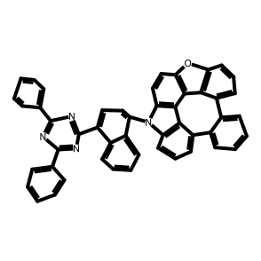 c1ccc(-c2nc(-c3ccccc3)nc(-c3ccc(-n4c5cccc6c7ccccc7c7cccc8oc9ccc4c(c9c87)c65)c4ccccc34)n2)cc1